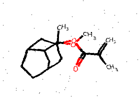 C=C(C)C(=O)OC1(C)CC2CCC(C1)C2COC